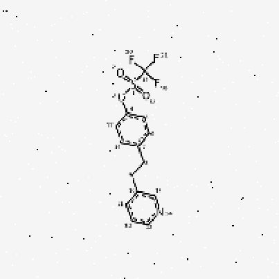 O=S(=O)(Oc1ccc(CCc2cccnc2)cc1)C(F)(F)F